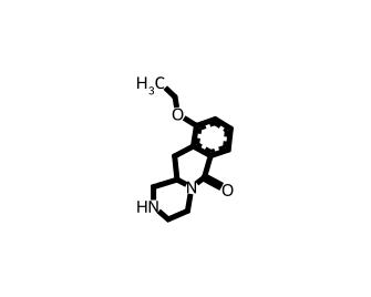 CCOc1cccc2c1CC1CNCCN1C2=O